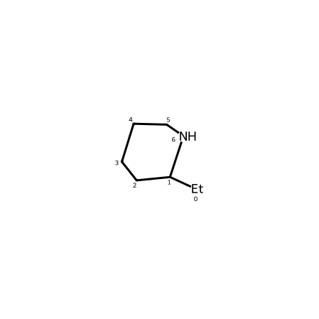 [CH2]CC1CCCCN1